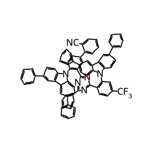 N#Cc1ccccc1-c1ccc(-n2c3ccc(-c4ccccc4)cc3c3cc(-c4ccccc4)ccc32)c(-c2nc(-c3ccccc3)nc(-c3ccc(C(F)(F)F)cc3-n3c4ccc(-c5ccccc5)cc4c4cc(-c5ccccc5)ccc43)n2)c1